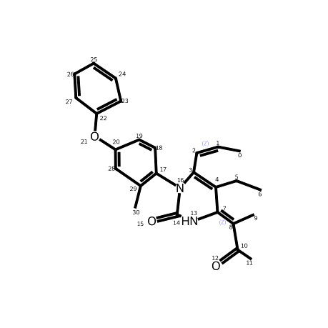 C/C=C\C1=C(CC)C(=C(\C)C(C)=O)/NC(=O)N1c1ccc(Oc2ccccc2)cc1C